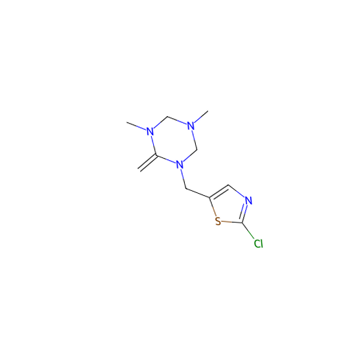 C=C1N(C)CN(C)CN1Cc1cnc(Cl)s1